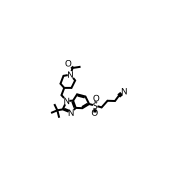 CC(=O)N1CCC(Cn2c(C(C)(C)C)nc3cc(S(=O)(=O)CCCC#N)ccc32)CC1